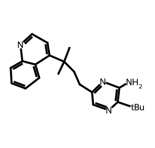 CC(C)(C)c1ncc(CCC(C)(C)c2ccnc3ccccc23)nc1N